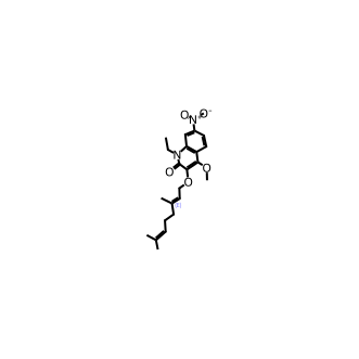 CCn1c(=O)c(OC/C=C(\C)CCC=C(C)C)c(OC)c2ccc([N+](=O)[O-])cc21